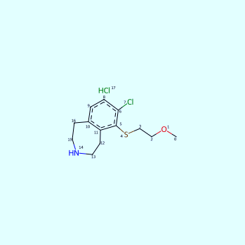 COCCSc1c(Cl)ccc2c1CCNCC2.Cl